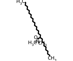 CCCCCCCCCCCCCCCCCCC(CCCCCCCCCC)C(=O)N(C)C